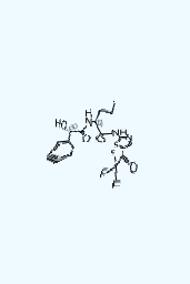 CCC[C@H](NC(=O)[C@@H](O)c1ccccc1)C(=O)Nc1ncc(C(=O)C(F)(F)F)s1